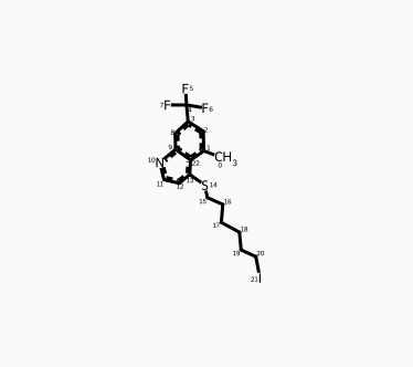 Cc1cc(C(F)(F)F)cc2nccc(SCCCCCCI)c12